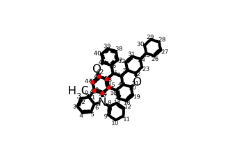 CC12C=CC=CC1N(C1=CCCC=C1)C1C(C3=CC=CC4OC5CC(C6C=CCCC6)C=CC5C(C5c6ccccc6OC6=CC=CCC65)C34)=CC=CC12